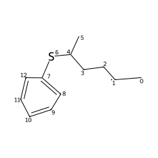 C[CH]CCC(C)Sc1ccccc1